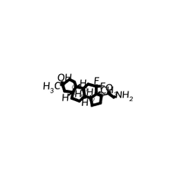 C[C@@]1(O)CC[C@H]2[C@H](CC[C@@H]3[C@@H]2CC(F)(F)[C@]2(C)[C@@H](C(=O)CN)CC[C@@H]32)C1